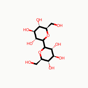 OC[C@H]1O[C](C2O[C@H](CO)[C@@H](O)[C@H](O)[C@H]2O)[C@H](O)[C@@H](O)[C@@H]1O